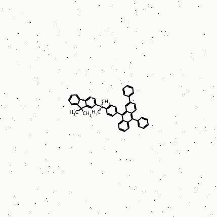 CC1(C)c2ccccc2-c2ccc([Si](C)(C)c3ccc(-c4c5ccccc5c(-c5ccccc5)c5ccc(-c6ccccc6)cc45)cc3)cc21